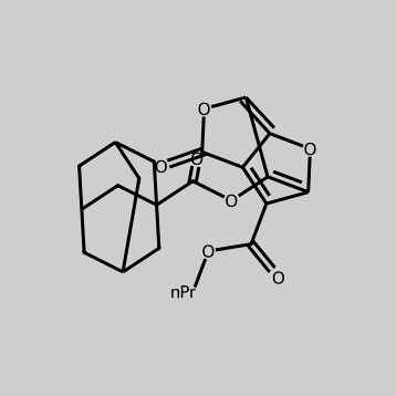 CCCOC(=O)c1c2c3oc1c(OC(=O)C14CC5CC(CC(C5)C1)C4)c3OC2=O